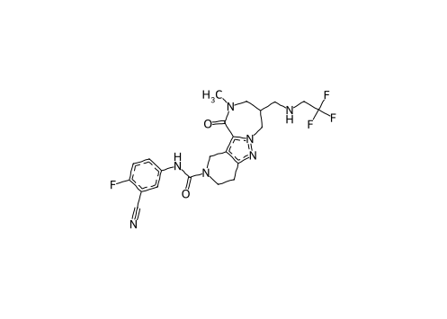 CN1CC(CNCC(F)(F)F)Cn2nc3c(c2C1=O)CN(C(=O)Nc1ccc(F)c(C#N)c1)CC3